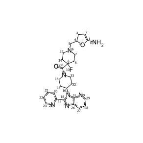 NC1=CCC(CN2CCC(F)(C(=O)N3CCC(n4c(-c5ccccn5)nc5cccnc54)CC3)CC2)O1